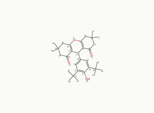 CC1(C)CC(=O)C2=C(C1)OC1=C(C(=O)CC(C)(C)C1)C2c1cc(C(C)(C)C)c(O)c(C(C)(C)C)c1